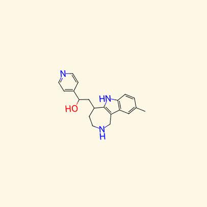 Cc1ccc2[nH]c3c(c2c1)CNCCC3CC(O)c1ccncc1